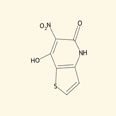 O=c1[nH]c2ccsc2c(O)c1[N+](=O)[O-]